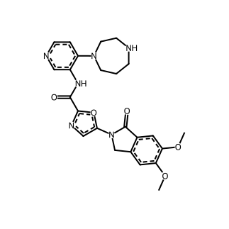 COc1cc2c(cc1OC)C(=O)N(c1cnc(C(=O)Nc3cnccc3N3CCCNCC3)o1)C2